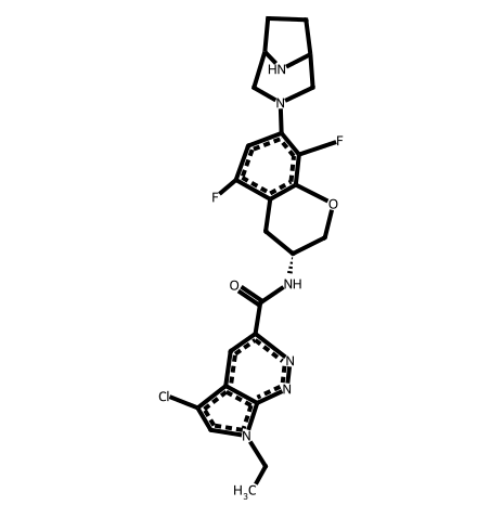 CCn1cc(Cl)c2cc(C(=O)N[C@H]3COc4c(F)c(N5CC6CCC(C5)N6)cc(F)c4C3)nnc21